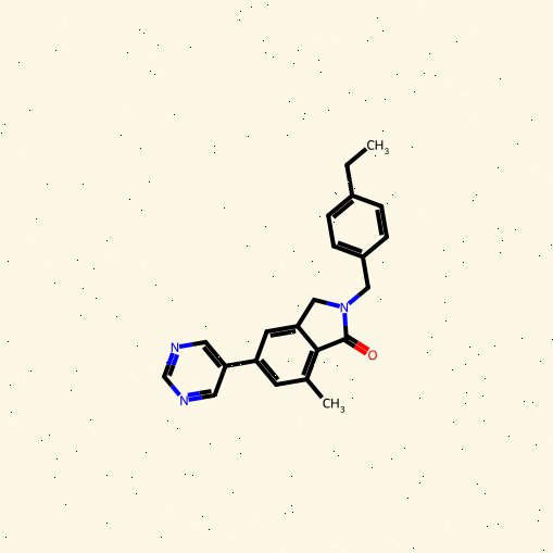 CCc1ccc(CN2Cc3cc(-c4cncnc4)cc(C)c3C2=O)cc1